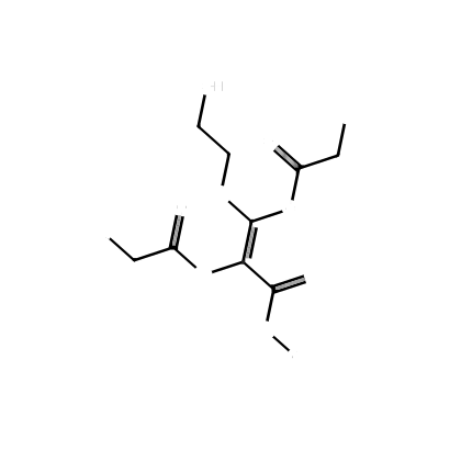 COC(=O)C(OC(=O)CS)=C(OCCO)OC(=O)CS